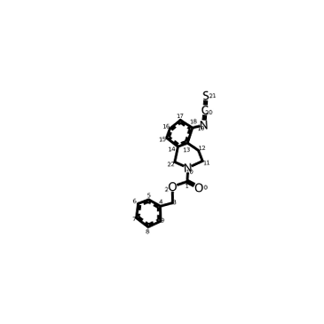 O=C(OCc1ccccc1)N1CCc2c(cccc2N=C=S)C1